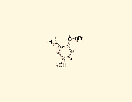 CCCOc1ccc(O)cc1C